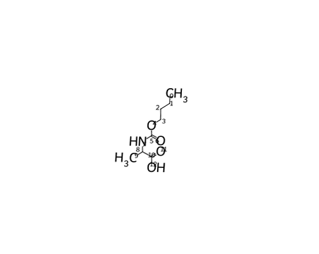 CCCCOC(=O)NC(C)C(=O)O